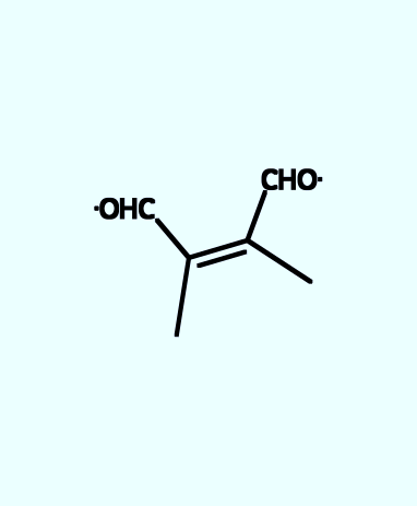 C/C([C]=O)=C(\C)[C]=O